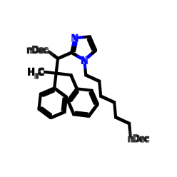 CCCCCCCCCCCCCCCCn1ccnc1C(CCCCCCCCCC)C(C)(Cc1ccccc1)c1ccccc1